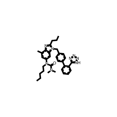 CCCCCN(C(=O)N(C)C)c1cc(C)c2nc(CCC)n(Cc3ccc(-c4ccccc4-c4nnn[nH]4)cc3)c2c1